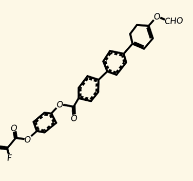 C=C(F)C(=O)Oc1ccc(OC(=O)c2ccc(-c3ccc(C4=CC=C(OC=O)CC4)cc3)cc2)cc1